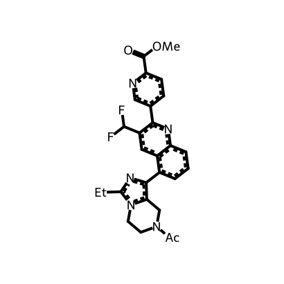 CCc1nc(-c2cccc3nc(-c4ccc(C(=O)OC)nc4)c(C(F)F)cc23)c2n1CCN(C(C)=O)C2